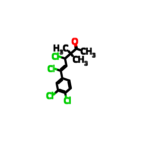 CC(=O)C(C)(C)C(Cl)C=C(Cl)c1ccc(Cl)c(Cl)c1